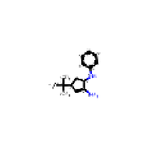 CC(C)(C)C1C=C(N)C(Nc2ccccc2)C1